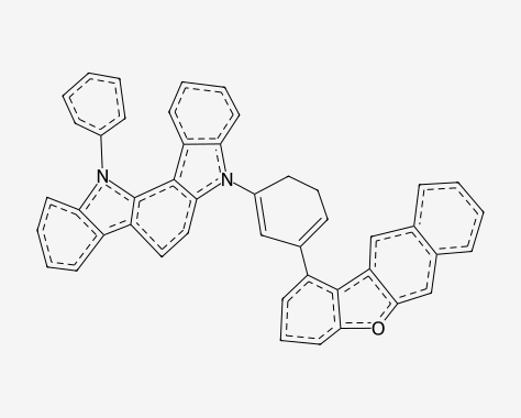 C1=C(c2cccc3oc4cc5ccccc5cc4c23)C=C(n2c3ccccc3c3c2ccc2c4ccccc4n(-c4ccccc4)c23)CC1